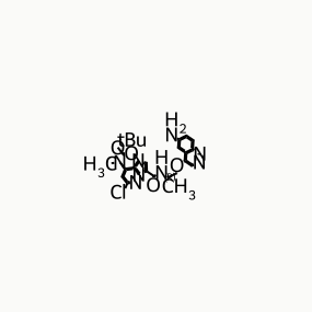 C[C@H](COc1cnnc2ccc(N)cc12)NC(=O)c1cnc2c(N(C)C(=O)OC(C)(C)C)cc(Cl)nn12